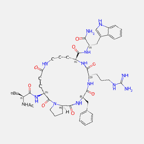 CCCC[C@H](NC(C)=O)C(=O)N[C@H]1CCC(=O)NCCC[C@@H](C(=O)N[C@@H](Cc2c[nH]c3ccccc23)C(N)=O)NC(=O)[C@H](CCCNC(=N)N)NC(=O)[C@@H](Cc2ccccc2)NC(=O)[C@H]2CCCN2C1=O